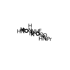 CC(C)NC(=O)COc1ccc(-c2nnc(Nc3ccc4[nH]ncc4c3)[nH]2)cc1F